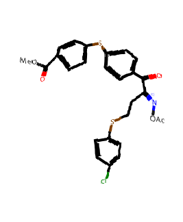 COC(=O)c1ccc(Sc2ccc(C(=O)/C(CCSc3ccc(Cl)cc3)=N/OC(C)=O)cc2)cc1